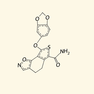 NC(=O)c1sc(Oc2ccc3c(c2)OCO3)c2c1CCc1cnoc1-2